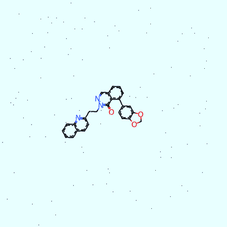 O=c1c2c(-c3ccc4c(c3)OCO4)cccc2cnn1CCc1ccc2ccccc2n1